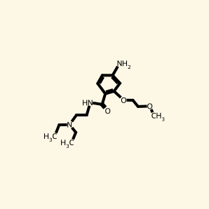 CCN(CC)CCNC(=O)c1ccc(N)cc1OCCOC